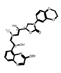 COc1cnc2cccc([C@H](O)CN(C)C[C@@H](O)[C@H]3CN(c4ccc5c(c4)OCCO5)C(=O)O3)c2n1